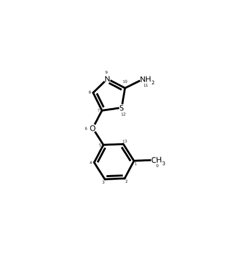 Cc1cccc(Oc2cnc(N)s2)c1